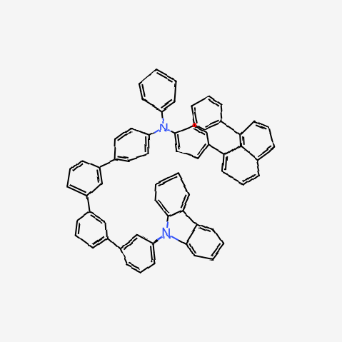 c1ccc(-c2cccc3cccc(-c4ccc(N(c5ccccc5)c5ccc(-c6cccc(-c7cccc(-c8cccc(-n9c%10ccccc%10c%10ccccc%109)c8)c7)c6)cc5)cc4)c23)cc1